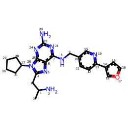 CC(N)Cc1nc2c(NCc3ccc(-c4ccoc4)nc3)nc(N)nc2n1C1CCCC1